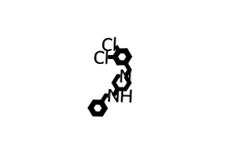 Clc1ccc(CN2CCC(NCc3ccccc3)CC2)cc1Cl